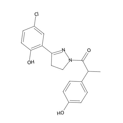 CC(C(=O)N1CCC(c2cc(Cl)ccc2O)=N1)c1ccc(O)cc1